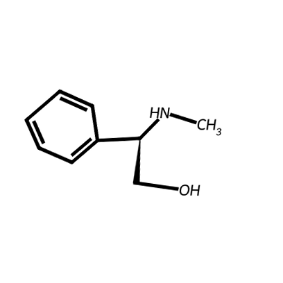 CN[C@@H](CO)c1ccccc1